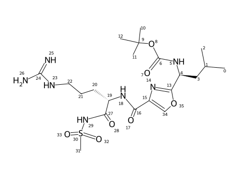 CC(C)C[C@H](NC(=O)OC(C)(C)C)c1nc(C(=O)N[C@@H](CCCNC(=N)N)C(=O)NS(C)(=O)=O)co1